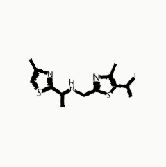 Cc1csc(C(C)NCc2nc(C)c(C(C)I)s2)n1